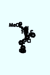 COC(=O)CCSc1cncc(COc2cc(OCc3cccc(-c4ccc5c(c4)OCCO5)c3C)c(Cl)cc2CN2CCCC[C@H]2C(=O)O)c1